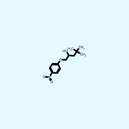 CC(C)(C)CC(O)COc1ccc([N+](=O)[O-])cc1